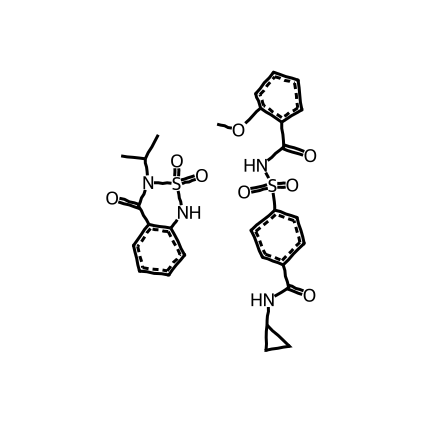 CC(C)N1C(=O)c2ccccc2NS1(=O)=O.COc1ccccc1C(=O)NS(=O)(=O)c1ccc(C(=O)NC2CC2)cc1